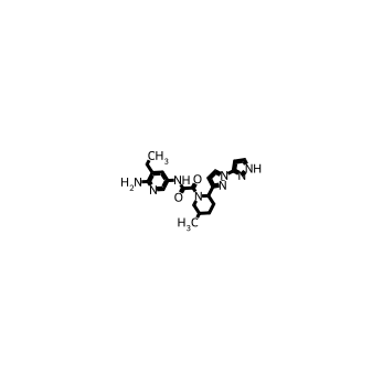 CCc1cc(NC(=O)C(=O)N2CC(C)CCC2c2ccn(-c3cc[nH]n3)n2)cnc1N